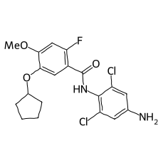 COc1cc(F)c(C(=O)Nc2c(Cl)cc(N)cc2Cl)cc1OC1CCCC1